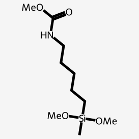 COC(=O)NCCCCC[Si](C)(OC)OC